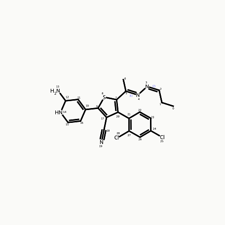 CC/C=N\N=C(/C)c1sc(C2=CC(N)NC=C2)c(C#N)c1-c1ccc(Cl)cc1Cl